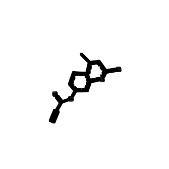 C#CC(=O)Oc1ccc2c(C)cc(=O)oc2c1